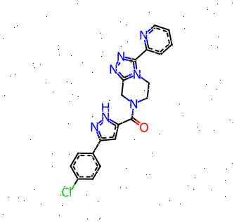 O=C(c1cc(-c2ccc(Cl)cc2)n[nH]1)N1CCn2c(nnc2-c2ccccn2)C1